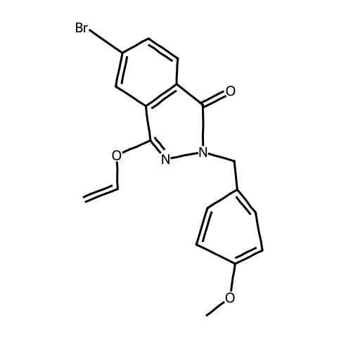 C=COc1nn(Cc2ccc(OC)cc2)c(=O)c2ccc(Br)cc12